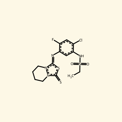 CCS(=O)(=O)Nc1cc(N=c2sc(=S)n3n2CCCC3)c(F)cc1Cl